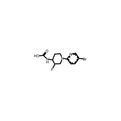 O=C(O)NC1CCN(c2ccc(Br)cn2)CC1F